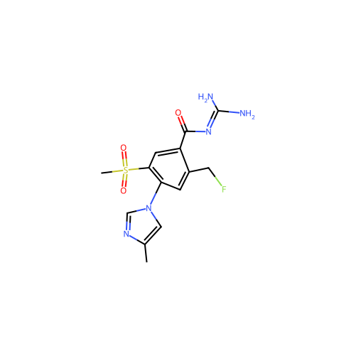 Cc1cn(-c2cc(CF)c(C(=O)N=C(N)N)cc2S(C)(=O)=O)cn1